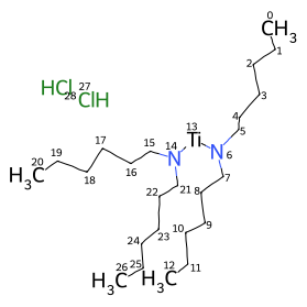 CCCCCC[N](CCCCCC)[Ti][N](CCCCCC)CCCCCC.Cl.Cl